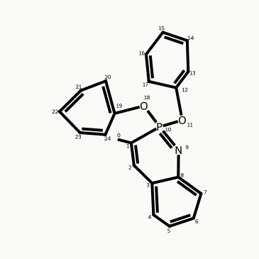 CC1=Cc2ccccc2N=P1(Oc1ccccc1)Oc1ccccc1